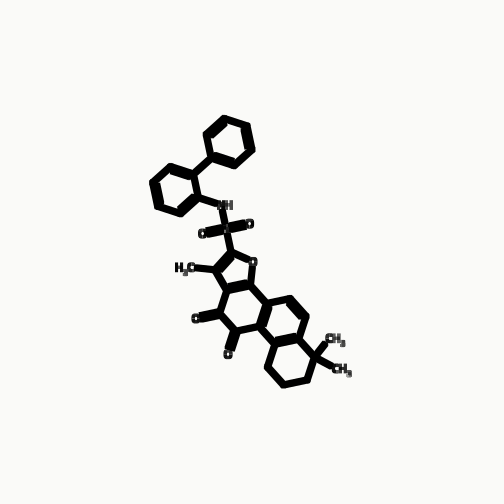 Cc1c(S(=O)(=O)Nc2ccccc2-c2ccccc2)oc2c1C(=O)C(=O)c1c-2ccc2c1CCCC2(C)C